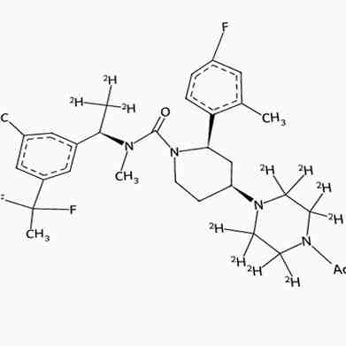 [2H]C([2H])([2H])[C@H](c1cc(C(C)(F)F)cc(C(F)(F)F)c1)N(C)C(=O)N1CC[C@H](N2C([2H])([2H])C([2H])([2H])N(C(C)=O)C([2H])([2H])C2([2H])[2H])C[C@@H]1c1ccc(F)cc1C